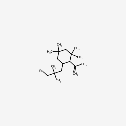 C=C(C)C1C(CC(C)(C)CC(C)C)CC(C)(C)CC1(C)C